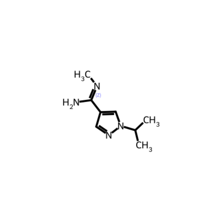 C/N=C(\N)c1cnn(C(C)C)c1